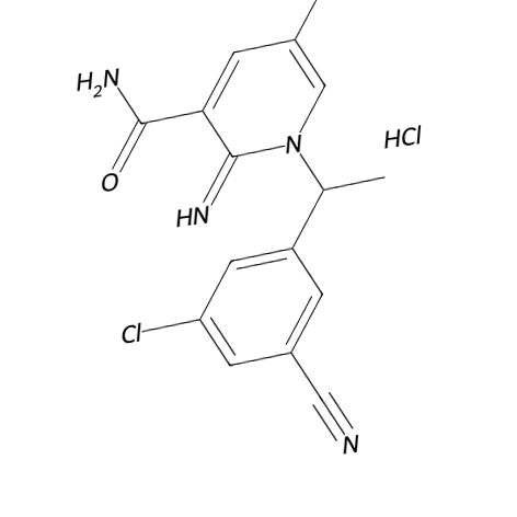 CC(c1cc(Cl)cc(C#N)c1)n1cc(Cl)cc(C(N)=O)c1=N.Cl